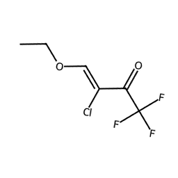 CCO/C=C(\Cl)C(=O)C(F)(F)F